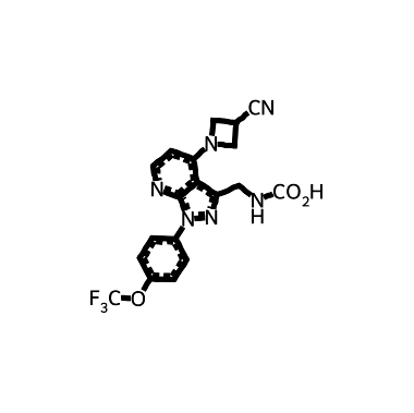 N#CC1CN(c2ccnc3c2c(CNC(=O)O)nn3-c2ccc(OC(F)(F)F)cc2)C1